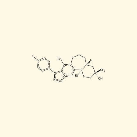 CC[C@@]12CC[C@](O)(C(F)(F)F)C[C@H]1CCCc1c2cc2cnn(-c3ccc(F)cc3)c2c1Br